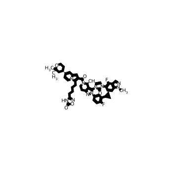 C[C@H]1c2c(nn(-c3ccc(F)c(C4CC4)c3)c2-n2ccn(-c3ccc4c(cnn4C)c3F)c2=O)CCN1C(=O)c1cc2cc([C@H]3CCOC(C)(C)C3)ccn2c1CCCCc1noc(=O)[nH]1